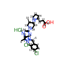 Cc1nn([C@H](C)c2ccc(Cl)cc2Cl)c2nc(N3CC[C@H](N4CCC[C@H]4CCC(=O)O)[C@H](C)C3)cnc12.Cl